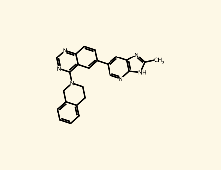 Cc1nc2cc(-c3ccc4ncnc(N5CCc6ccccc6C5)c4c3)cnc2[nH]1